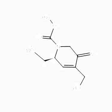 CC(C)(C)OC(=O)N1CC(=O)C(CO)=C[C@H]1CO